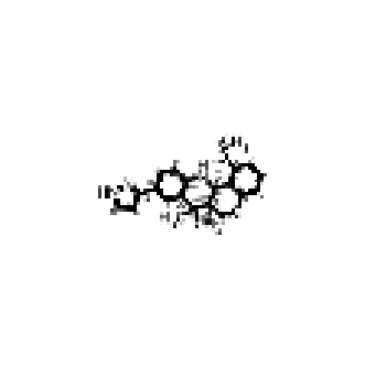 COc1cccc2c1[C@H]1Nc3ccc(-c4cc[nH]n4)cc3C(C)(C)[C@H]1CO2